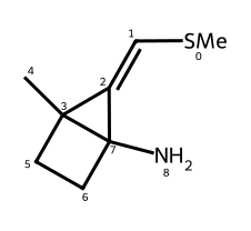 CSC=C1C2(C)CCC12N